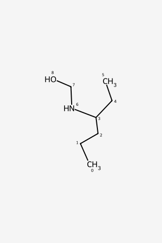 CCCC(CC)NCO